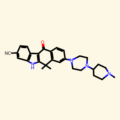 CN1CCC(N2CCN(c3ccc4c(c3)C(C)(C)c3[nH]c5cc(C#N)ccc5c3C4=O)CC2)CC1